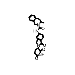 CC1Cc2ccccc2CN1C(=O)Nc1ccc2c(c1)CN(C1CCC(=O)NC1=O)C2=O